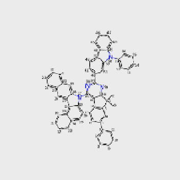 CC1(C)c2cc(-c3ccccc3)ccc2-c2c(-n3c4cc5ccccc5cc4c4c5ccccc5ccc43)nc(-c3ccc4c5ccccc5n(-c5ccccc5)c4c3)nc21